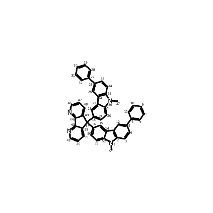 Cn1c2ccc(-c3ccccc3)cc2c2cc(C3(c4ccc5c(c4)c4cc(-c6ccccc6)ccc4n5C)c4cccnc4-c4ncccc43)ccc21